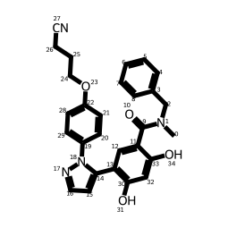 CN(Cc1ccccc1)C(=O)c1cc(-c2ccnn2-c2ccc(OCCCC#N)cc2)c(O)cc1O